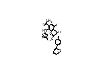 Cc1cc(Nc2cc(N[C@H](Cc3ccc(-c4ccccn4)cc3)C(N)=O)c(F)cc2C(N)=O)sn1